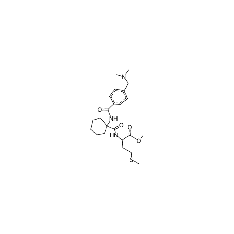 COC(=O)C(CCSC)NC(=O)C1(NC(=O)c2ccc(CN(C)C)cc2)CCCCC1